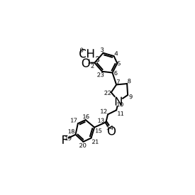 COc1cccc(C2CCN(CCC(=O)c3ccc(F)cc3)C2)c1